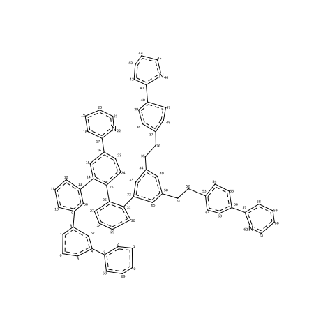 c1ccc(-c2cccc(-c3cccc(-c4cc(-c5ccccn5)ccc4-c4ccccc4-c4cc(CCc5ccc(-c6ccccn6)cc5)cc(CCc5ccc(-c6ccccn6)cc5)c4)c3)c2)cc1